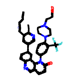 C=C/C=C\c1cc(-c2ccc3ncc4ccc(=O)n(-c5ccc(N6CCN(CC=O)CC6)c(C(F)(F)F)c5)c4c3c2)cnc1C